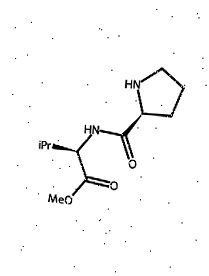 COC(=O)[C@H](NC(=O)[C@@H]1CCCN1)C(C)C